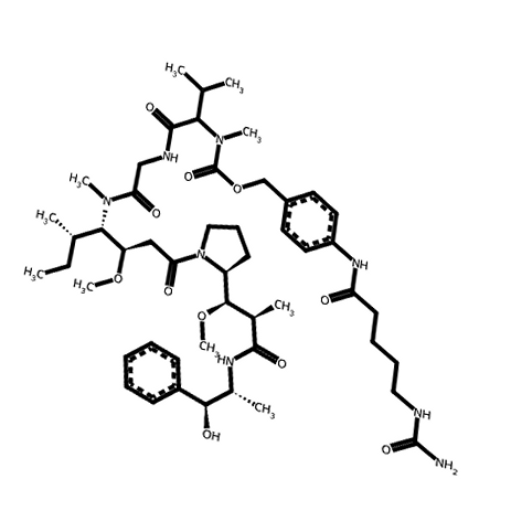 CC[C@H](C)[C@@H]([C@@H](CC(=O)N1CCC[C@H]1[C@H](OC)[C@@H](C)C(=O)N[C@H](C)[C@@H](O)c1ccccc1)OC)N(C)C(=O)CNC(=O)C(C(C)C)N(C)C(=O)OCc1ccc(NC(=O)CCCCNC(N)=O)cc1